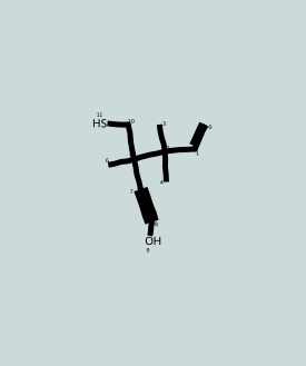 C=CC(C)(C)C(C)(C#CO)CS